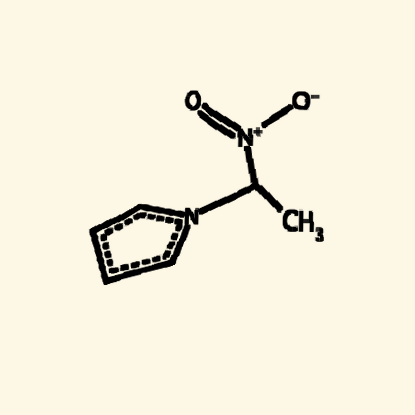 CC(n1cccc1)[N+](=O)[O-]